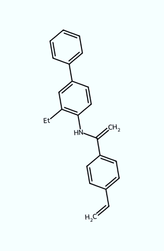 C=Cc1ccc(C(=C)Nc2ccc(-c3ccccc3)cc2CC)cc1